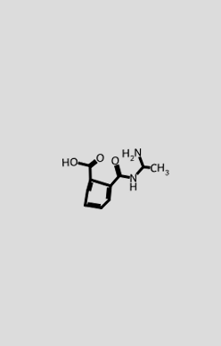 CC(N)NC(=O)c1ccccc1C(=O)O